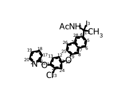 CC(=O)NC(C)(I)c1ccc2cc(Oc3ccc(Oc4ccccn4)c(Cl)c3)ccc2c1